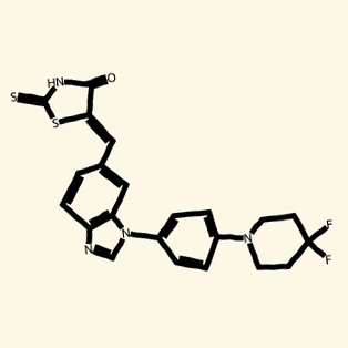 O=C1NC(=S)S/C1=C\c1ccc2ncn(-c3ccc(N4CCC(F)(F)CC4)cc3)c2c1